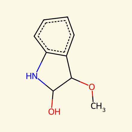 COC1c2ccccc2NC1O